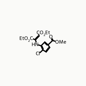 CCOC(=O)C=C(Nc1cc(C(=O)OC)ccc1Cl)C(=O)OCC